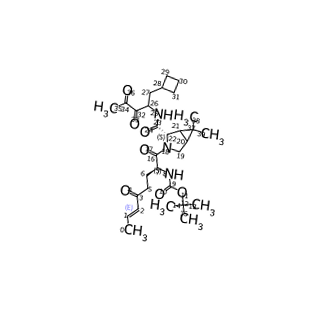 C/C=C/C(=O)CC[C@H](NC(=O)OC(C)(C)C)C(=O)N1CC2C([C@H]1C(=O)NC(CC1CCC1)C(=O)C(C)=O)C2(C)C